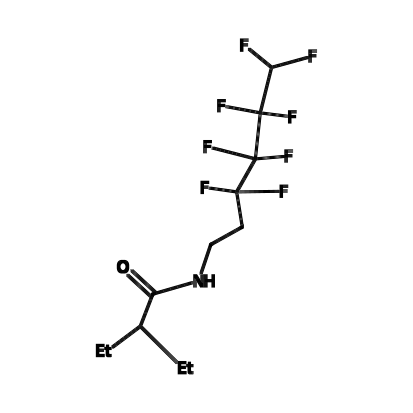 CCC(CC)C(=O)NCCC(F)(F)C(F)(F)C(F)(F)C(F)F